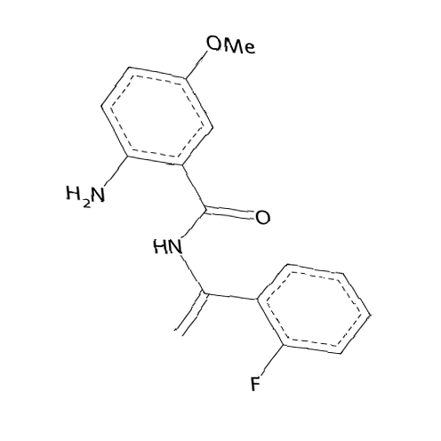 C=C(NC(=O)c1cc(OC)ccc1N)c1ccccc1F